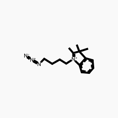 CC1=[N+](CCCCN=[N+]=[N-])c2ccccc2C1(C)C